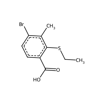 CCSc1c(C(=O)O)ccc(Br)c1C